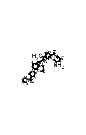 Cc1c(-c2cc3ccc(N4CCC(C(=O)N5CCCC5)CC4)cc3n2CC2CC2)nn2cc(C(=O)N3C[C@H](N)C[C@@H](F)C3)ccc12